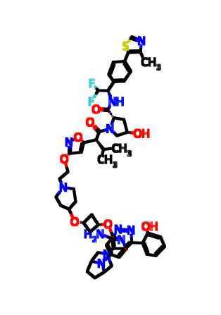 Cc1ncsc1-c1ccc([C@@H](NC(=O)[C@@H]2C[C@@H](O)CN2C(=O)[C@H](c2cc(OCCN3CCC(O[C@H]4C[C@H](Oc5cc(N6C7CCC6CN(c6cc(-c8ccccc8O)nnc6N)C7)ccn5)C4)CC3)no2)C(C)C)C(F)F)cc1